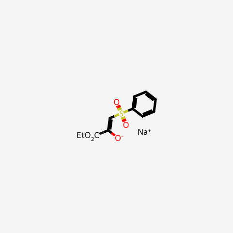 CCOC(=O)C([O-])=CS(=O)(=O)c1ccccc1.[Na+]